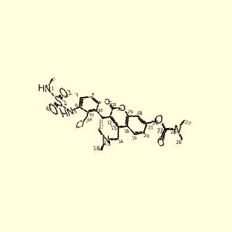 CNS(=O)(=O)Nc1cccc(Cc2c(CN(C)C)c3ccc(OC(=O)N(C)C)cc3oc2=O)c1Cl